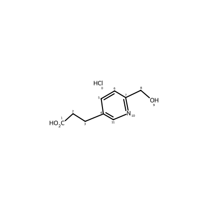 Cl.O=C(O)CCc1ccc(CO)nc1